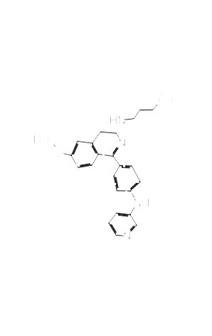 CCCCN[C@H]1Cc2cc(OC)ccc2C(c2ccc(Nc3cccnc3)cc2)=N1